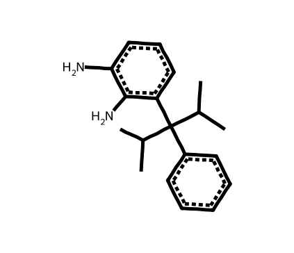 CC(C)C(c1ccccc1)(c1cccc(N)c1N)C(C)C